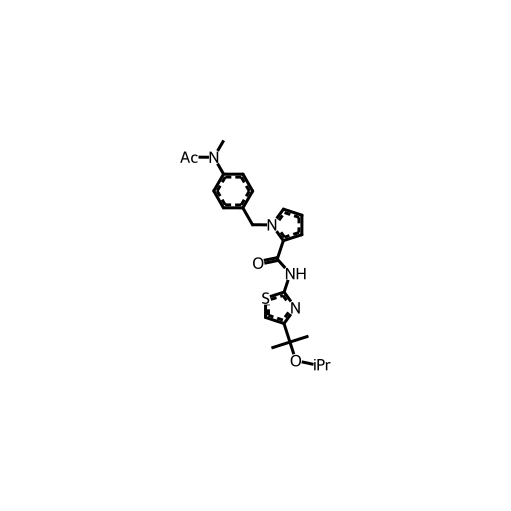 CC(=O)N(C)c1ccc(Cn2cccc2C(=O)Nc2nc(C(C)(C)OC(C)C)cs2)cc1